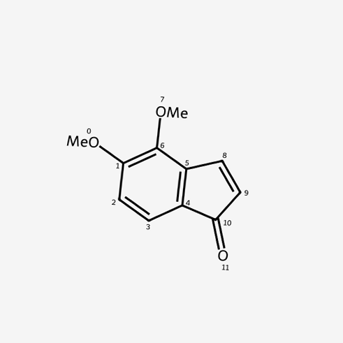 COc1ccc2c(c1OC)C=CC2=O